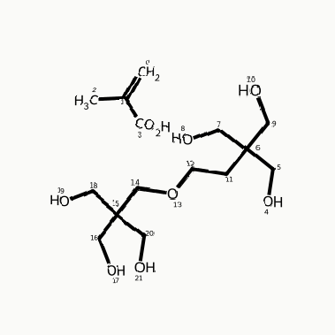 C=C(C)C(=O)O.OCC(CO)(CO)CCOCC(CO)(CO)CO